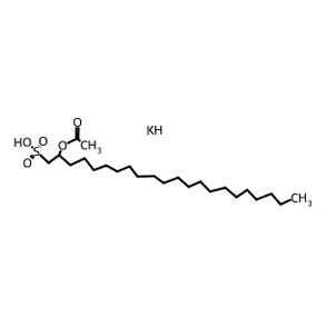 CCCCCCCCCCCCCCCCCCCCC(CS(=O)(=O)O)OC(C)=O.[KH]